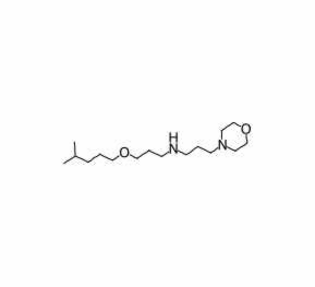 CC(C)CCCOCCCNCCCN1CCOCC1